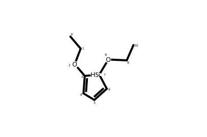 CCOC1=CC=C[SiH]1OCC